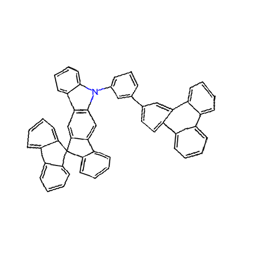 c1cc(-c2ccc3c4ccccc4c4ccccc4c3c2)cc(-n2c3ccccc3c3cc4c(cc32)-c2ccccc2C42c3ccccc3-c3ccccc32)c1